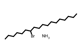 CCCCCCCCCCCC(Br)CCCCCC.N